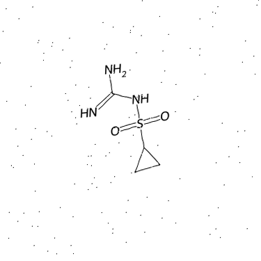 N=C(N)NS(=O)(=O)C1CC1